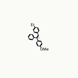 CCc1ccc(/C=C(\c2ccccc2)c2ccc(OC)cc2)cc1